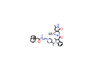 COc1cc(C)[nH]c(=O)c1CNC(=O)c1c(C)n([C@@H](C)C2CCN(CCNC(=O)CC34CC5CC(CC(C5)C3)C4)CC2)c2ccccc12